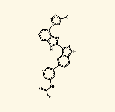 CCC(=O)Nc1cncc(-c2ccc3[nH]nc(-c4nc5c(-n6cnc(C)c6)cccc5[nH]4)c3c2)c1